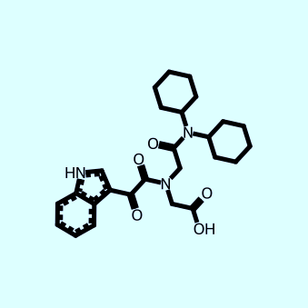 O=C(O)CN(CC(=O)N(C1CCCCC1)C1CCCCC1)C(=O)C(=O)c1c[nH]c2ccccc12